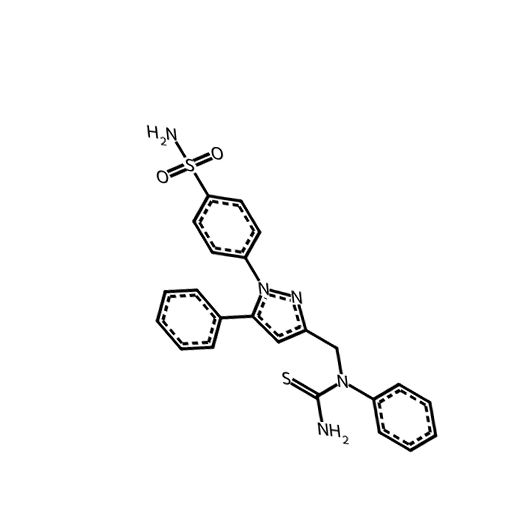 NC(=S)N(Cc1cc(-c2ccccc2)n(-c2ccc(S(N)(=O)=O)cc2)n1)c1ccccc1